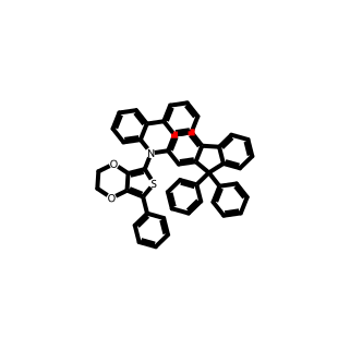 c1ccc(-c2ccccc2N(c2ccc3c(c2)C(c2ccccc2)(c2ccccc2)c2ccccc2-3)c2sc(-c3ccccc3)c3c2OCCO3)cc1